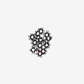 c1ccc(N(c2ccccc2)c2ccccc2-c2ccccc2-c2ccc3c4ccc5ccccc5c4n(-c4ccc5c(c4)-c4c(ccc6ccccc46)C5(c4ccccc4)c4ccccc4)c3c2)cc1